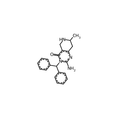 CC1Cc2nc(N)n(C(c3ccccc3)c3ccccc3)c(=O)c2CN1